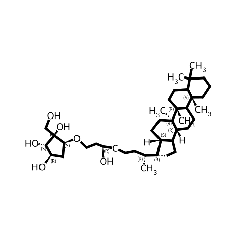 C[C@H](CCC[C@@H](O)CCO[C@H]1C[C@@H](O)[C@H](O)[C@]1(O)CO)[C@H]1CCC2[C@H]1CC[C@]1(C)[C@@H]2CCC2[C@@]3(C)CCCC(C)(C)C3CC[C@]21C